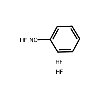 F.F.F.N#Cc1ccccc1